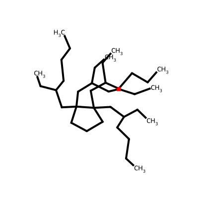 CCCCC(CC)CC1(CC(CC)CCCC)CCCC1(CC(CC)CCCC)CC(CC)CCCC